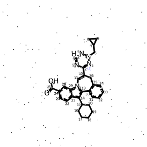 C=N/C(=N\N(N)CC1CC1)C1=Cn2c(c(C3CCCCC3)c3ccc(C(=O)O)cc32)-c2ccccc2C1